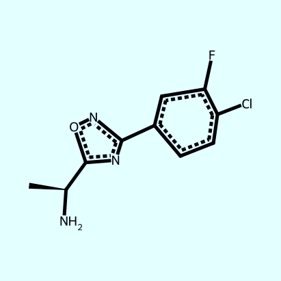 C[C@H](N)c1nc(-c2ccc(Cl)c(F)c2)no1